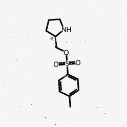 Cc1ccc(S(=O)(=O)OC[C@H]2CCCN2)cc1